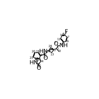 CC(C(=O)Nc1ccc(F)cc1)C12CC(NC(=O)c3cccc4c3CC(=O)N4)(C1)C2